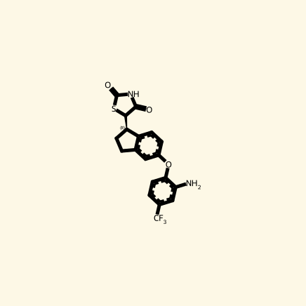 Nc1cc(C(F)(F)F)ccc1Oc1ccc2c(c1)CC[C@H]2C1SC(=O)NC1=O